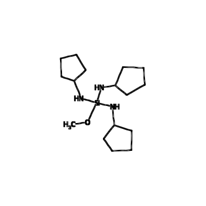 CO[Si](NC1CCCC1)(NC1CCCC1)NC1CCCC1